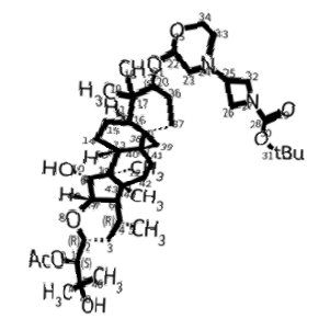 CC(=O)O[C@@H]([C@H]1C[C@@H](C)C2[C@H](O1)[C@H](O)[C@@]1(C)[C@@H]3CC[C@H]4C(C)(C)[C@@H](OC5CN(C6CN(C(=O)OC(C)(C)C)C6)CCO5)CC[C@@]45C[C@@]35CC[C@]21C)C(C)(C)O